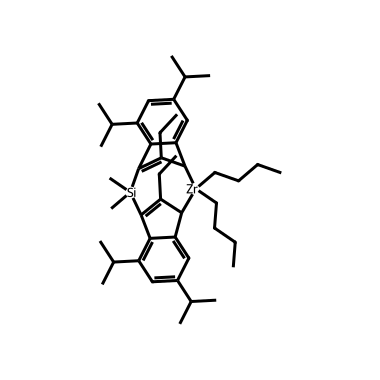 CCC[CH2][Zr]1([CH2]CCC)[CH]2C(CC)=C(c3c(C(C)C)cc(C(C)C)cc32)[Si](C)(C)C2=C(CC)[CH]1c1cc(C(C)C)cc(C(C)C)c12